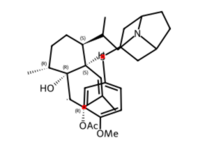 COc1ccc(SC2CC3CCC(C2)N3CC(C)[C@@H]2CC[C@@H](C)[C@]3(O)[CH][C@@H](OC(C)=O)C(C)=C[C@H]23)cc1